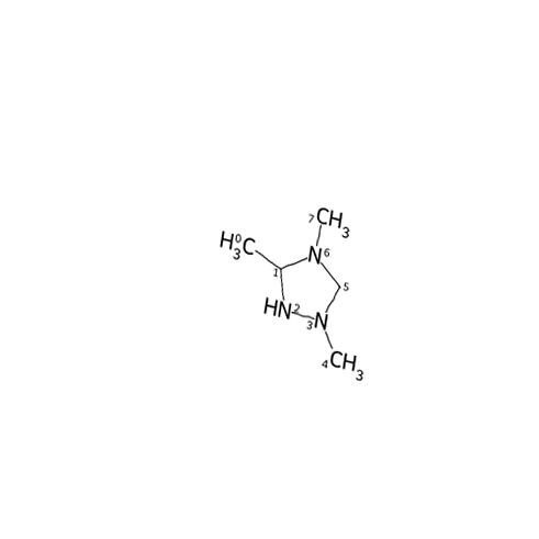 CC1NN(C)CN1C